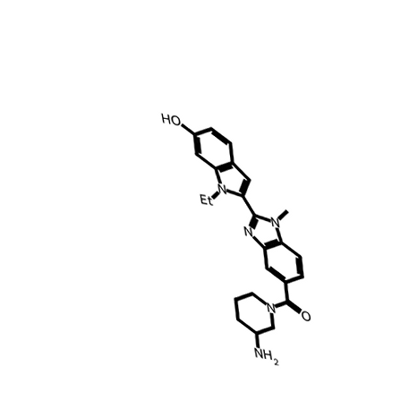 CCn1c(-c2nc3cc(C(=O)N4CCCC(N)C4)ccc3n2C)cc2ccc(O)cc21